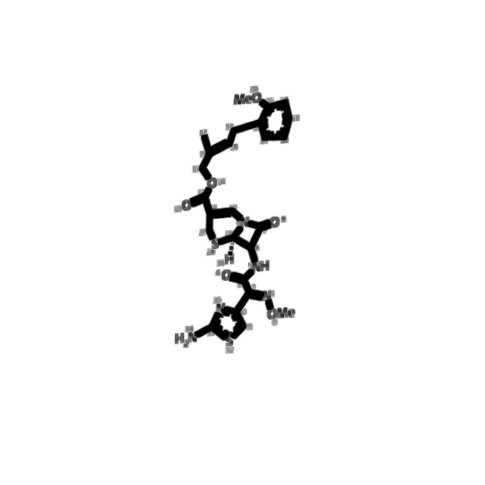 CON=C(C(=O)NC1C(=O)N2C=C(C(=O)OCC(C)=CCc3ccccc3OC)CS[C@H]12)c1csc(N)n1